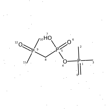 C=P(C)(C)OP(=O)(O)CP(C)(C)=O